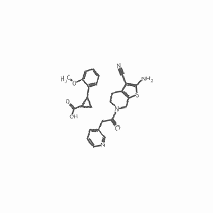 COc1ccccc1C1CC1C(=O)O.N#Cc1c(N)sc2c1CCN(C(=O)Cc1cccnc1)C2